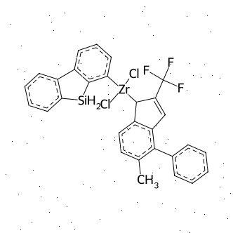 Cc1ccc2c(c1-c1ccccc1)C=C(C(F)(F)F)[CH]2[Zr]([Cl])([Cl])[c]1cccc2c1[SiH2]c1ccccc1-2